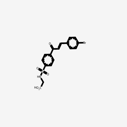 O=C(O)CNS(=O)(=O)c1ccc(C(=O)/C=C/c2ccc(Br)cc2)cc1